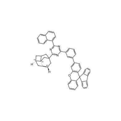 c1cc(-c2ccc3c(c2)Oc2ccccc2C32c3ccccc3-c3ccccc32)cc(-c2nc(-c3cccc4ccccc34)nc(C34CC5C[C@@H]6C[C@@H](C3)C[C@@]56C4)n2)c1